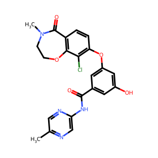 Cc1cnc(NC(=O)c2cc(O)cc(Oc3ccc4c(c3Cl)OCCN(C)C4=O)c2)cn1